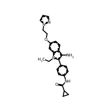 CCn1c(-c2ccc(NC(=O)C3CC3)cc2)c(N)c2ccc(OCCn3cccn3)cc21